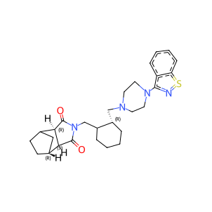 O=C1[C@H]2[C@@H]3CCC(C3)[C@H]2C(=O)N1CC1CCCC[C@H]1CN1CCN(c2nsc3ccccc23)CC1